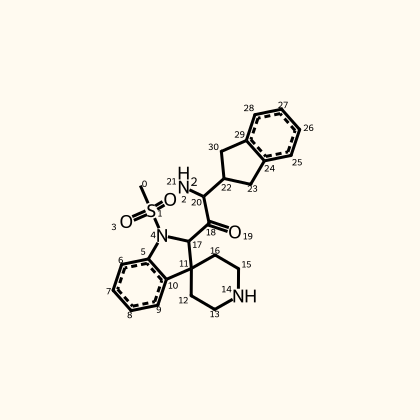 CS(=O)(=O)N1c2ccccc2C2(CCNCC2)C1C(=O)C(N)C1Cc2ccccc2C1